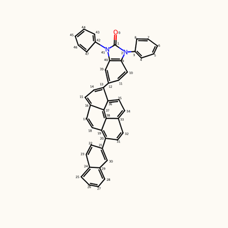 O=c1n(-c2ccccc2)c2ccc(-c3ccc4ccc5c(-c6ccc7ccccc7c6)ccc6ccc3c4c65)cc2n1-c1ccccc1